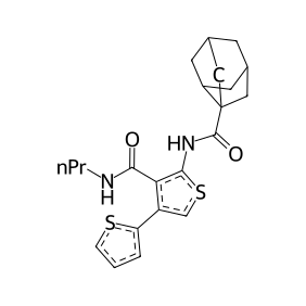 CCCNC(=O)c1c(-c2cccs2)csc1NC(=O)C12CC3CC(CC1C3)C2